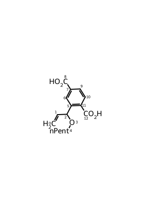 C=CC(OCCCCC)c1cc(C(=O)O)ccc1C(=O)O